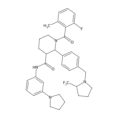 Cc1cccc(F)c1C(=O)N1CCCC(C(=O)Nc2cccc(N3CCCC3)c2)C1c1ccc(CN2CCCC2C(F)(F)F)cc1